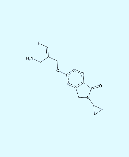 NC/C(=C\F)COc1cnc2c(c1)CN(C1CC1)C2=O